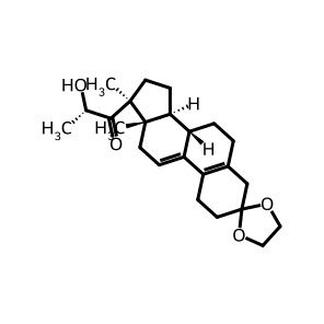 C[C@H](O)C(=O)[C@@]1(C)CC[C@H]2[C@@H]3CCC4=C(CCC5(C4)OCCO5)C3=CC[C@@]21C